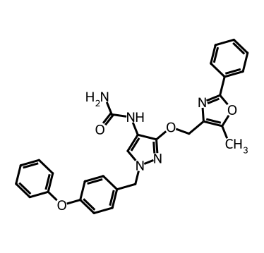 Cc1oc(-c2ccccc2)nc1COc1nn(Cc2ccc(Oc3ccccc3)cc2)cc1NC(N)=O